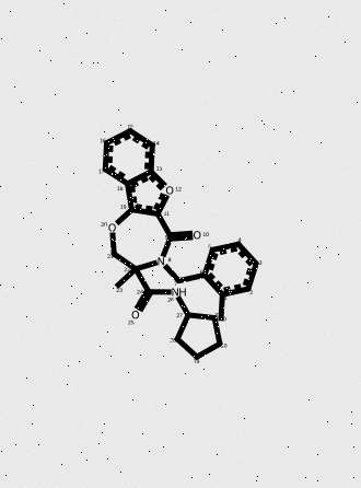 Cc1ccccc1CN1C(=O)c2oc3ccccc3c2OCC1(C)C(=O)NC1CCCC1